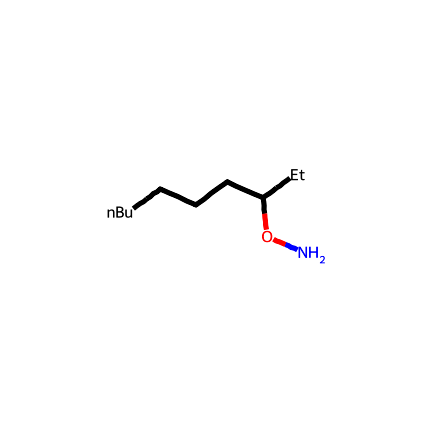 CCCCCCCC(CC)ON